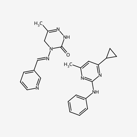 CC1=NNC(=O)N(/N=C/c2cccnc2)C1.Cc1cc(C2CC2)nc(Nc2ccccc2)n1